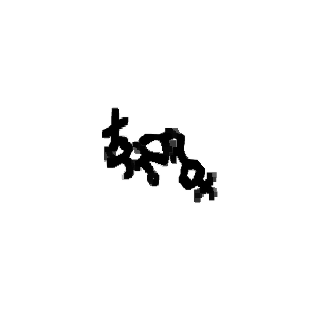 CN(C(=O)c1cn2c(-c3ccc(C(F)(F)F)cc3)cnc2cn1)c1ccc(C(C)(C)C)nc1